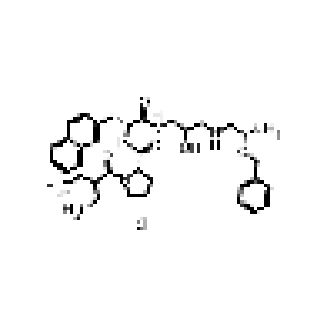 CCC(CC)C(=O)N1CCC[C@H]1C(=O)N[C@H](Cc1ccc2ccccc2c1)C(=O)NCC(O)CNC[C@@H](C)OCc1ccccc1.Cl